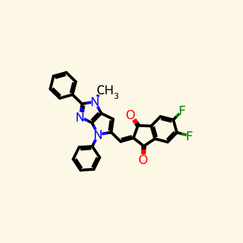 Cn1c(-c2ccccc2)nc2c1cc(C=C1C(=O)c3cc(F)c(F)cc3C1=O)n2-c1ccccc1